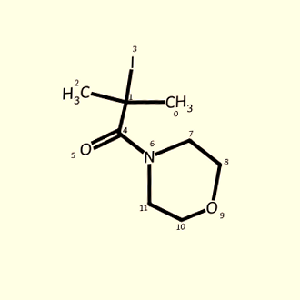 CC(C)(I)C(=O)N1CCOCC1